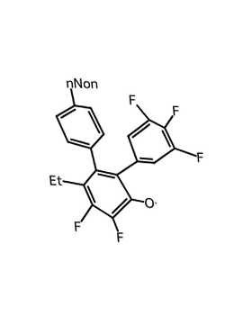 CCCCCCCCCc1ccc(-c2c(CC)c(F)c(F)c([O])c2-c2cc(F)c(F)c(F)c2)cc1